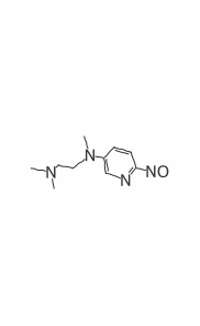 CN(C)CCN(C)c1ccc(N=O)nc1